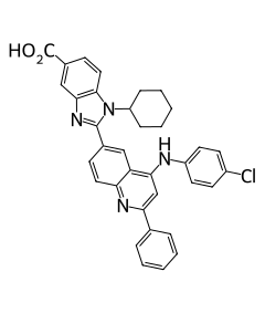 O=C(O)c1ccc2c(c1)nc(-c1ccc3nc(-c4ccccc4)cc(Nc4ccc(Cl)cc4)c3c1)n2C1CCCCC1